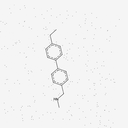 CCc1ccc(-c2ccc(CNC)cc2)cc1